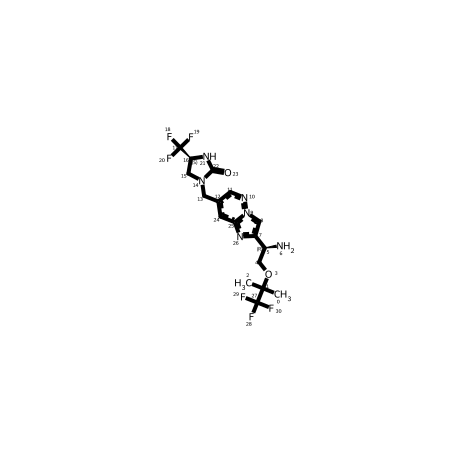 CC(C)(OC[C@H](N)c1cn2ncc(CN3C[C@@H](C(F)(F)F)NC3=O)cc2n1)C(F)(F)F